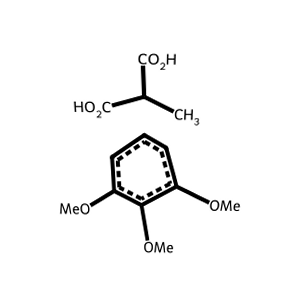 CC(C(=O)O)C(=O)O.COc1cccc(OC)c1OC